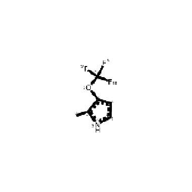 Cc1[nH]ccc1OC(F)(F)F